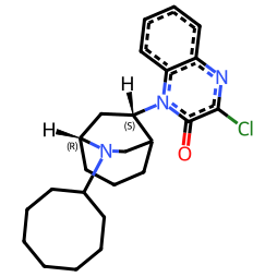 O=c1c(Cl)nc2ccccc2n1[C@H]1C[C@H]2CCCC1CN2C1CCCCCCC1